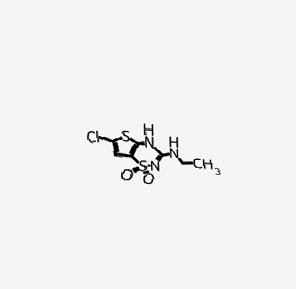 CCNC1=NS(=O)(=O)c2cc(Cl)sc2N1